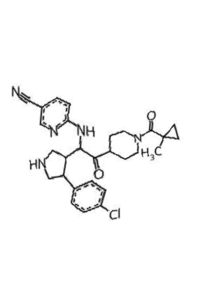 CC1(C(=O)N2CCC(C(=O)C(Nc3ccc(C#N)cn3)C3CNCC3c3ccc(Cl)cc3)CC2)CC1